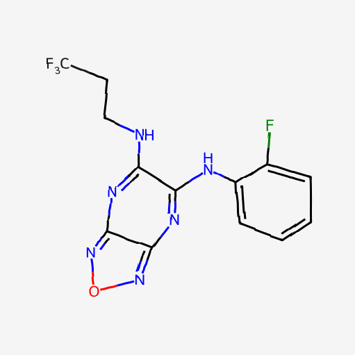 Fc1ccccc1Nc1nc2nonc2nc1NCCC(F)(F)F